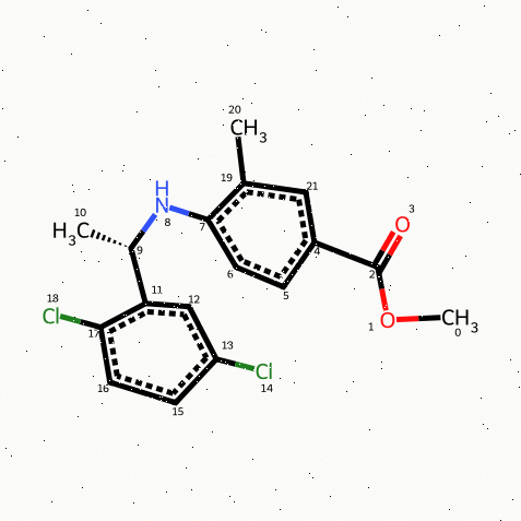 COC(=O)c1ccc(N[C@@H](C)c2cc(Cl)ccc2Cl)c(C)c1